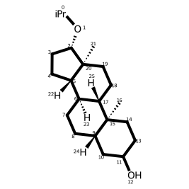 CC(C)O[C@H]1CC[C@H]2[C@@H]3CC[C@H]4CC(O)CC[C@]4(C)[C@H]3CC[C@]12C